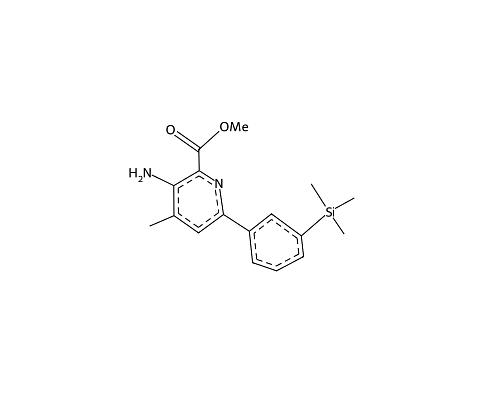 COC(=O)c1nc(-c2cccc([Si](C)(C)C)c2)cc(C)c1N